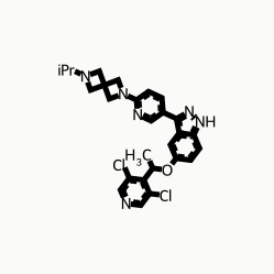 CC(Oc1ccc2[nH]nc(-c3ccc(N4CC5(C4)CN(C(C)C)C5)nc3)c2c1)c1c(Cl)cncc1Cl